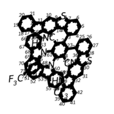 N#Cc1c(-c2cccc3sc4cc5c(cc4c23)[nH]c2ccccc25)c(-c2cccc3sc4cc5c(cc4c23)[nH]c2ccccc25)c(C#N)c(-n2c3ccccc3c3cc(C(F)(F)F)ccc32)c1-n1c2ccccc2c2cc(C(F)(F)F)ccc21